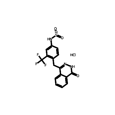 Cl.O=c1[nH]nc(Cc2ccc(N[SH](=O)=O)cc2C(F)(F)F)c2ccccc12